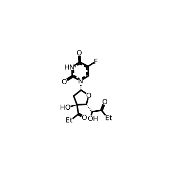 CCC(=O)C(O)[C@H]1O[C@@H](n2cc(F)c(=O)[nH]c2=O)C[C@@]1(O)C(=O)CC